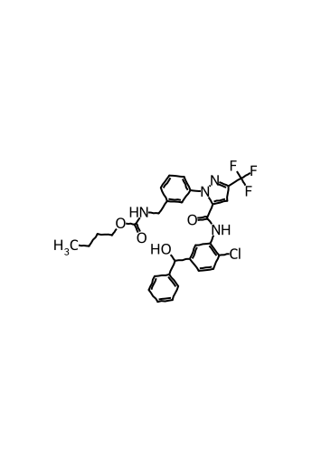 CCCCOC(=O)NCc1cccc(-n2nc(C(F)(F)F)cc2C(=O)Nc2cc(C(O)c3ccccc3)ccc2Cl)c1